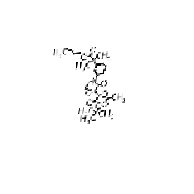 CCCCOC(=O)C(C)(C)c1cccc(N2CCO[C@H]([C@@H](OC(C)=O)C(=O)OC(C)(C)C)C2=O)c1